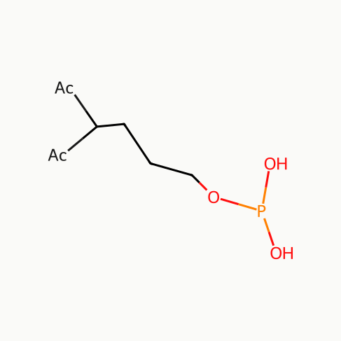 CC(=O)C(CCCOP(O)O)C(C)=O